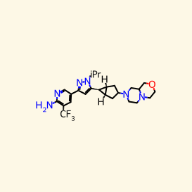 CC(C)n1nc(-c2cnc(N)c(C(F)(F)F)c2)cc1[C@H]1[C@@H]2CC(N3CCN4CCOCC4C3)C[C@@H]21